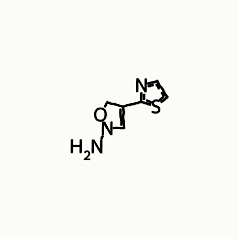 NN1C=C(c2nccs2)CO1